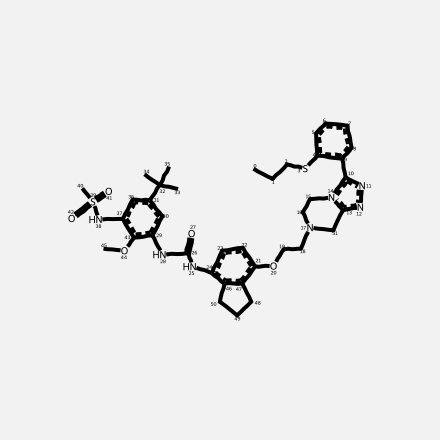 CCCSc1ccccc1-c1nnc2n1CCN(CCOc1ccc(NC(=O)Nc3cc(C(C)(C)C)cc(NS(C)(=O)=O)c3OC)c3c1CCC3)C2